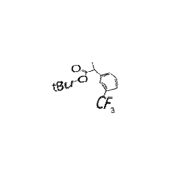 CC(C(=O)OC(C)(C)C)c1cccc(C(F)(F)F)c1